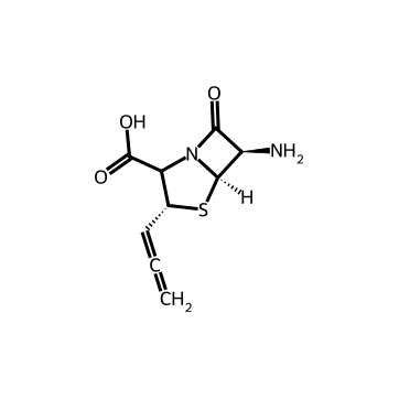 C=C=C[C@H]1S[C@@H]2[C@H](N)C(=O)N2C1C(=O)O